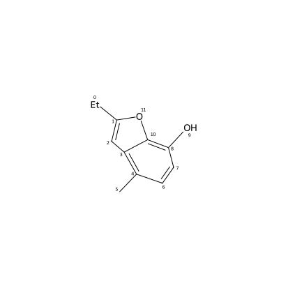 CCc1cc2c(C)ccc(O)c2o1